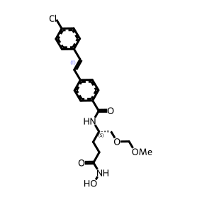 COCOC[C@H](CCC(=O)NO)NC(=O)c1ccc(/C=C/c2ccc(Cl)cc2)cc1